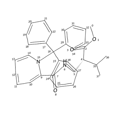 COC(=O)[C@@H](CNC(=O)C1=CC=CC=CN1C(c1ccccc1)(c1ccccc1)c1ccccc1)C(C)C